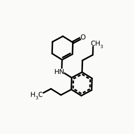 CCCc1cccc(CCC)c1NC1=CC(=O)CCC1